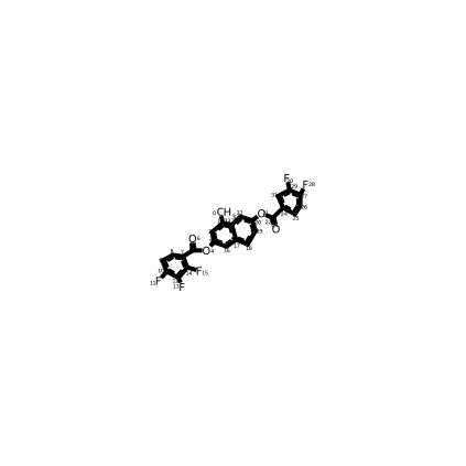 Cc1cc(OC(=O)c2ccc(F)c(F)c2F)cc2ccc(OC(=O)c3ccc(F)c(F)c3)cc12